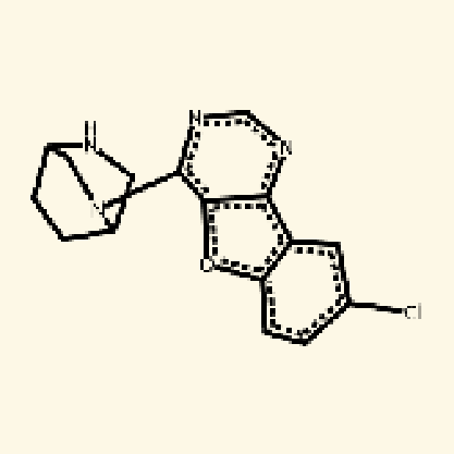 Clc1ccc2oc3c(N4CC5CCC4CN5)ncnc3c2c1